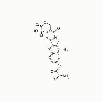 CCc1c2c(nc3ccc(OC(=O)[C@@H](N)C(C)C)cc13)-c1cc3c(c(=O)n1C2)COC(=O)[C@]3(O)CC